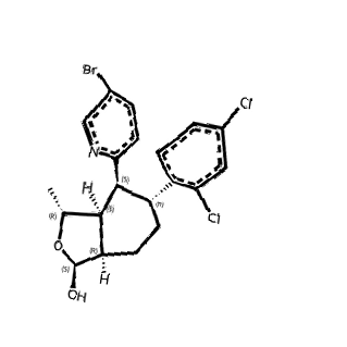 C[C@H]1O[C@H](O)[C@@H]2CC[C@@H](c3ccc(Cl)cc3Cl)[C@H](c3ccc(Br)cn3)[C@@H]21